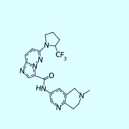 CN1CCc2ncc(NC(=O)c3cnc4ccc(N5CCCC5C(F)(F)F)nn34)cc2C1